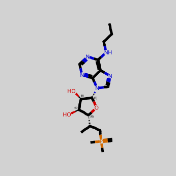 C=P(C)(C)CC(C)[C@H]1O[C@@H](n2cnc3c(NCCC)ncnc32)[C@H](O)[C@@H]1O